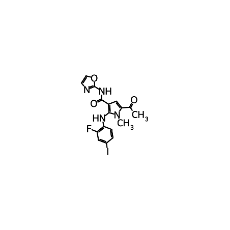 CC(=O)c1cc(C(=O)Nc2ncco2)c(Nc2ccc(I)cc2F)n1C